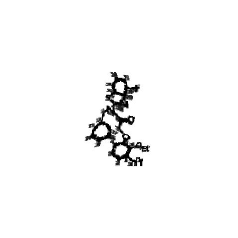 CCCc1cccc(OCC(=O)N(Cc2ccccc2)c2nc3c(F)cccc3s2)c1OCC